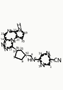 N#Cc1cnc(NC[C@H]2CC[C@@H](c3nnc4cnc5[nH]ccc5n34)C2)cn1